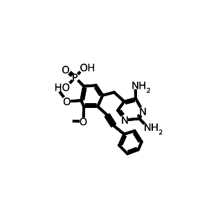 COc1c(P(=O)(O)O)cc(Cc2cnc(N)nc2N)c(C#Cc2ccccc2)c1OC